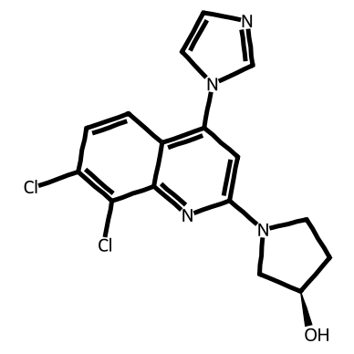 O[C@@H]1CCN(c2cc(-n3ccnc3)c3ccc(Cl)c(Cl)c3n2)C1